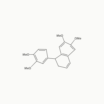 COc1ccc(C2CC=Cc3cc(OC)c(OC)cc32)cc1OC